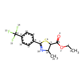 CCOC(=O)C1SC(c2ccc(C(F)(F)F)cc2)=NC1C